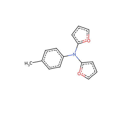 Cc1ccc(N(c2ccco2)c2ccco2)cc1